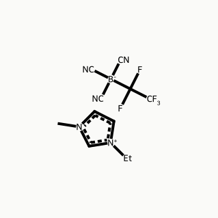 CC[n+]1ccn(C)c1.N#C[B-](C#N)(C#N)C(F)(F)C(F)(F)F